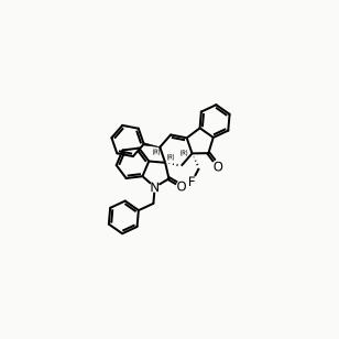 O=C1c2ccccc2C2=C[C@H](c3ccccc3)[C@@]3(C[C@]12CF)C(=O)N(Cc1ccccc1)c1ccccc13